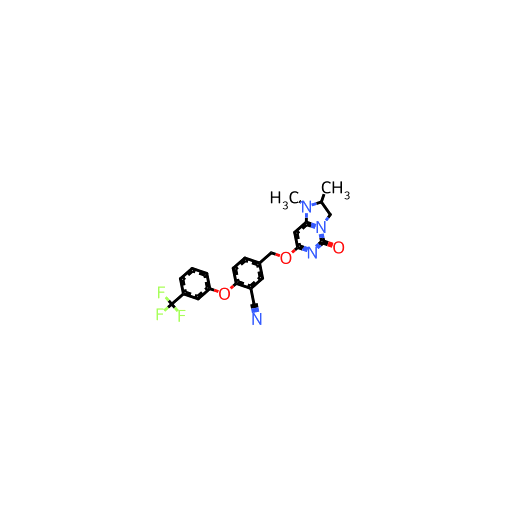 CC1Cn2c(cc(OCc3ccc(Oc4cccc(C(F)(F)F)c4)c(C#N)c3)nc2=O)N1C